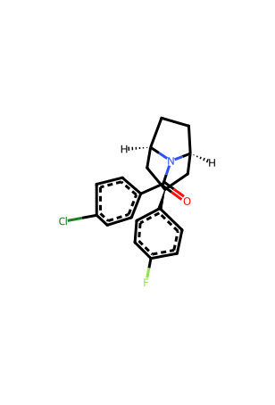 O=C(c1ccc(Cl)cc1)N1[C@@H]2CC[C@H]1C[C@@H](c1ccc(F)cc1)C2